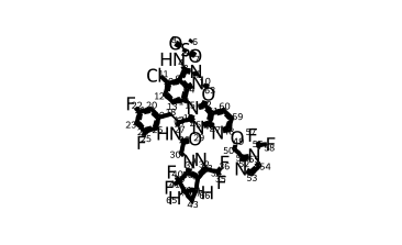 Cn1nc(NS(C)(=O)=O)c2c(Cl)ccc(-n3c([C@H](Cc4cc(F)cc(F)c4)NC(=O)Cn4nc(C(F)F)c5c4C(F)(F)[C@@H]4C[C@H]54)nc4nc(OCc5nccn5C(F)F)ccc4c3=O)c21